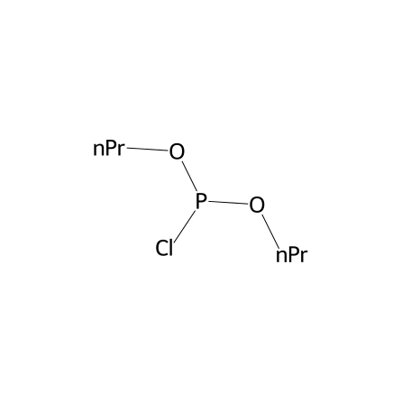 CCCOP(Cl)OCCC